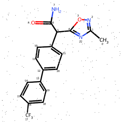 Cc1noc(C(C(N)=O)c2ccc(-c3ccc(C(F)(F)F)cc3)cc2)n1